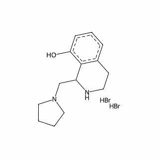 Br.Br.Oc1cccc2c1C(CN1CCCC1)NCC2